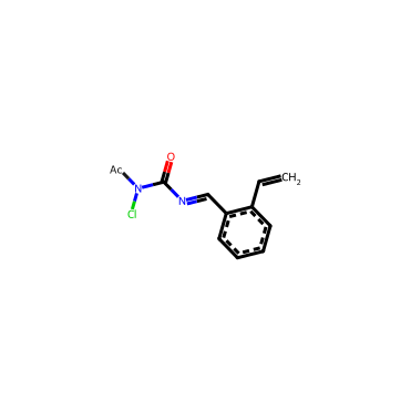 C=Cc1ccccc1C=NC(=O)N(Cl)C(C)=O